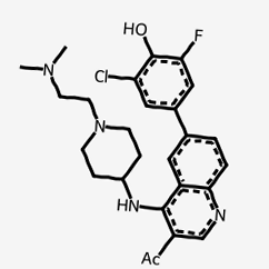 CC(=O)c1cnc2ccc(-c3cc(F)c(O)c(Cl)c3)cc2c1NC1CCN(CCN(C)C)CC1